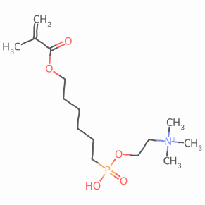 C=C(C)C(=O)OCCCCCCP(=O)(O)OCC[N+](C)(C)C